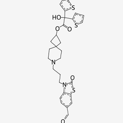 O=Cc1ccc2c(c1)sc(=O)n2CCCN1CCC2(CC1)CC(OC(=O)C(O)(c1cccs1)c1cccs1)C2